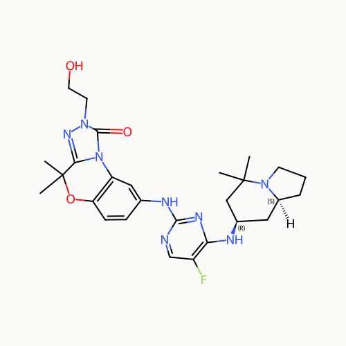 CC1(C)Oc2ccc(Nc3ncc(F)c(N[C@@H]4C[C@@H]5CCCN5C(C)(C)C4)n3)cc2-n2c1nn(CCO)c2=O